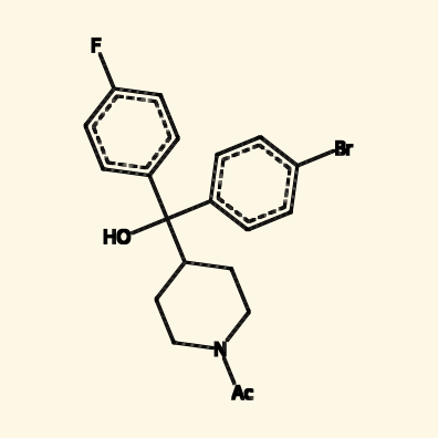 CC(=O)N1CCC(C(O)(c2ccc(F)cc2)c2ccc(Br)cc2)CC1